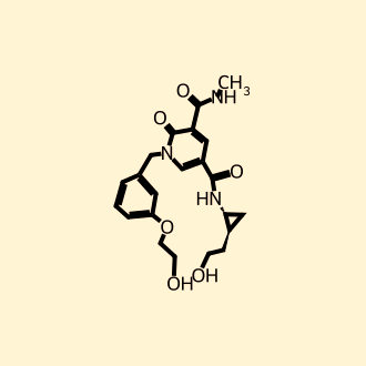 CNC(=O)c1cc(C(=O)N[C@@H]2C[C@H]2CCO)cn(Cc2cccc(OCCO)c2)c1=O